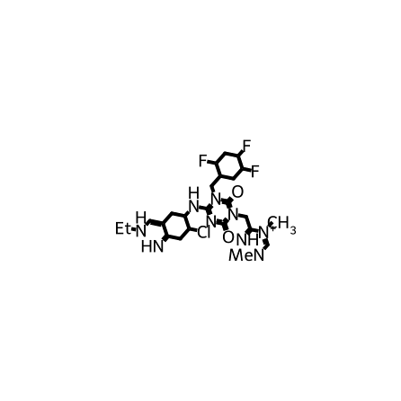 CCN/C=C1/CC(Nc2nc(=O)n(CC(=N)/[N+](C)=C\NC)c(=O)n2CC2CC(F)C(F)CC2F)C(Cl)CC1=N